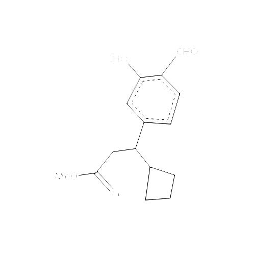 COC(=O)CC(c1ccc(C=O)c(O)c1)C1CCC1